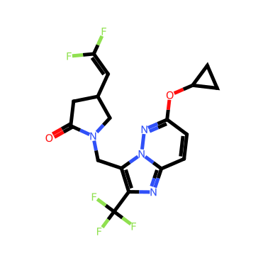 O=C1CC(C=C(F)F)CN1Cc1c(C(F)(F)F)nc2ccc(OC3CC3)nn12